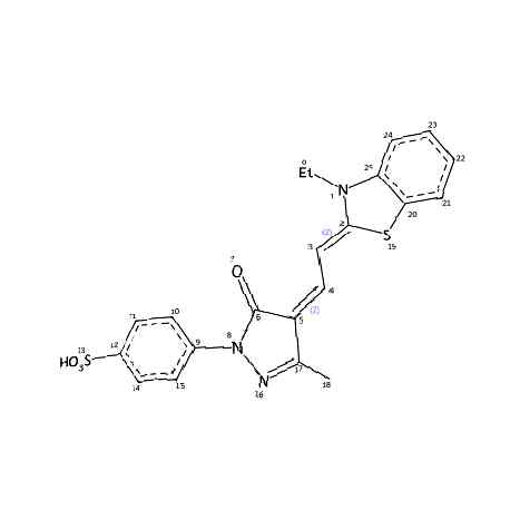 CCN1/C(=C/C=C2\C(=O)N(c3ccc(S(=O)(=O)O)cc3)N=C2C)Sc2ccccc21